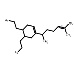 CC(=O)CCC1CC=C(C(C)CC/C=C(\C)C(C)(C)C)CC1CCC(C)=O